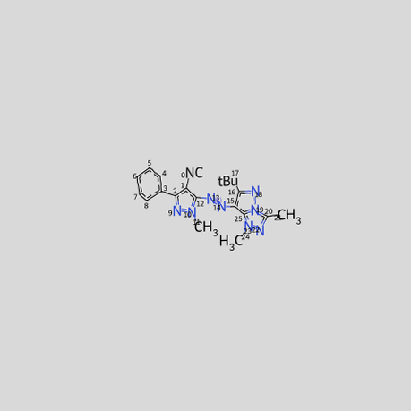 [C-]#[N+]c1c(-c2ccccc2)nn(C)c1/N=N/c1c(C(C)(C)C)nn2c(C)nn(C)c12